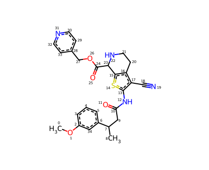 COc1cccc(C(C)CC(=O)Nc2sc3c(c2C#N)CCNC3C(=O)OCc2ccncc2)c1